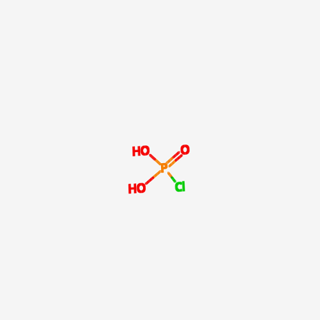 O=P(O)(O)Cl